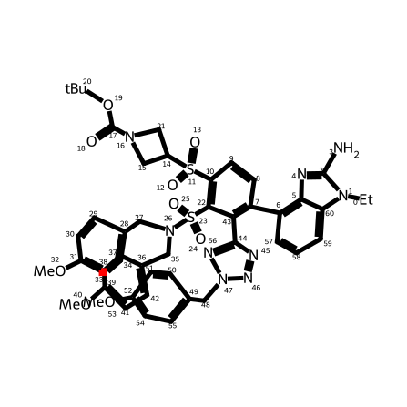 CCn1c(N)nc2c(-c3ccc(S(=O)(=O)C4CN(C(=O)OC(C)(C)C)C4)c(S(=O)(=O)N(Cc4ccc(OC)cc4)Cc4ccc(OC)cc4)c3-c3nnn(Cc4ccc(OC)cc4)n3)cccc21